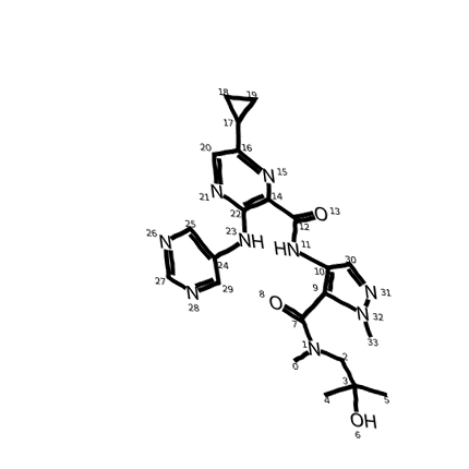 CN(CC(C)(C)O)C(=O)c1c(NC(=O)c2nc(C3CC3)cnc2Nc2cncnc2)cnn1C